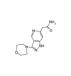 NC(=O)Cc1cc2[nH]nc(N3CCOCC3)c2cn1